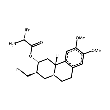 COc1cc2c(cc1OC)[C@H]1C[C@@H](OC(=O)[C@H](N)C(C)C)[C@H](CC(C)C)CN1CC2